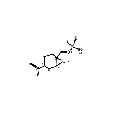 C=C(C)C1CCC2(CO[Si](C)(C)C(C)(C)C)OC2C1